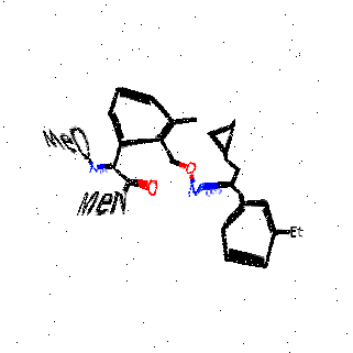 CCc1cccc(/C(CC2CC2)=N/OCc2c(C)cccc2/C(=N\OC)C(=O)NC)c1